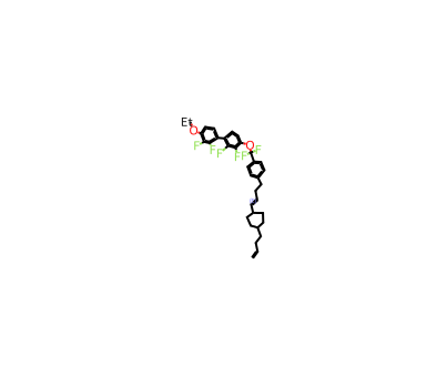 C=CCCC1CCC(/C=C/CCc2ccc(C(F)(F)Oc3ccc(-c4ccc(OCC)c(F)c4F)c(F)c3F)cc2)CC1